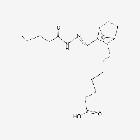 CCCCC(=O)N/N=C/C1C2CCC(O2)C1CCCCCCC(=O)O